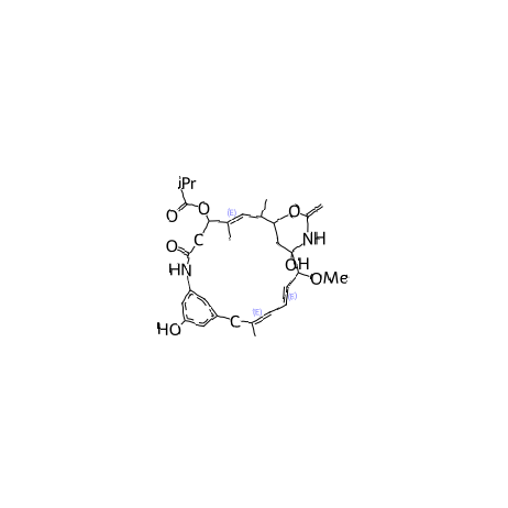 C=C1NC2(O)CC(O1)C(C)/C=C(\C)C(OC(=O)C(C)C)CC(=O)Nc1cc(O)cc(c1)C/C(C)=C/C=C/C2OC